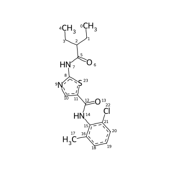 CCC(CC)C(=O)Nc1ncc(C(=O)Nc2c(C)cccc2Cl)s1